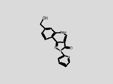 O=c1c2c[nH]c3cc(CO)ccc3c-2nn1-c1ccccn1